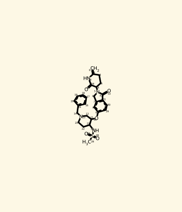 C=C1CCC(N2Cc3cc(OC4CN(Cc5ccccc5)CCC4NS(C)(=O)=O)ccc3C2=O)C(=O)N1